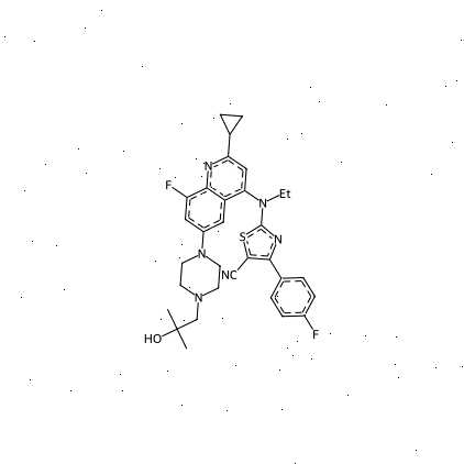 CCN(c1nc(-c2ccc(F)cc2)c(C#N)s1)c1cc(C2CC2)nc2c(F)cc(N3CCN(CC(C)(C)O)CC3)cc12